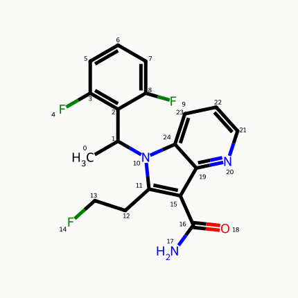 CC(c1c(F)cccc1F)n1c(CCF)c(C(N)=O)c2ncccc21